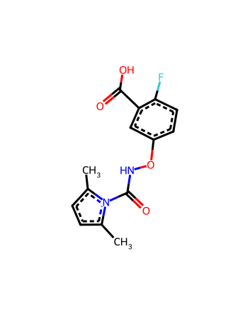 Cc1ccc(C)n1C(=O)NOc1ccc(F)c(C(=O)O)c1